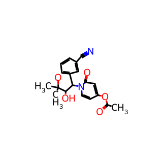 CC(=O)Oc1ccn(C2c3cc(C#N)ccc3OC(C)(C)C2O)c(=O)c1